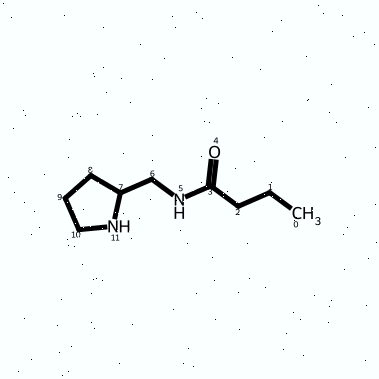 CCCC(=O)NCC1CCCN1